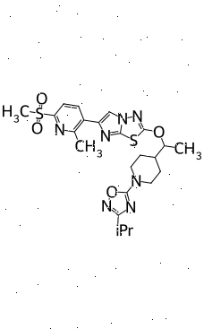 Cc1nc(S(C)(=O)=O)ccc1-c1cn2nc(OC(C)C3CCN(c4nc(C(C)C)no4)CC3)sc2n1